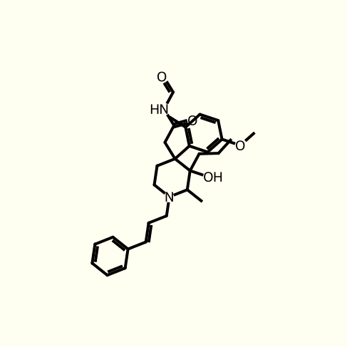 CCCC1(O)C(C)N(C/C=C/c2ccccc2)CCC1(CC(=O)NC=O)c1cc(OC)ccc1C